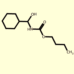 CCCCOC(=O)NC(O)C1CCCCC1